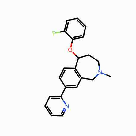 CN1CCC(Oc2ccccc2F)c2ccc(-c3ccccn3)cc2C1